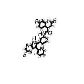 O=C(Nc1cc(-c2[nH]c3ncc(F)nc3c2-c2ccccn2)ccn1)C(CC(F)F)c1ccc(F)cc1